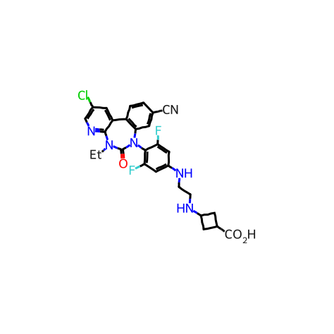 CCN1C(=O)N(c2c(F)cc(NCCNC3CC(C(=O)O)C3)cc2F)c2cc(C#N)ccc2-c2cc(Cl)cnc21